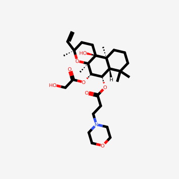 C=C[C@@]1(C)CC[C@]2(O)[C@@]3(C)CCCC(C)(C)[C@@H]3[C@H](OC(=O)CCN3CCOCC3)[C@H](OC(=O)CO)[C@@]2(C)O1